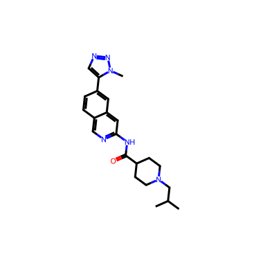 CC(C)CN1CCC(C(=O)Nc2cc3cc(-c4cnnn4C)ccc3cn2)CC1